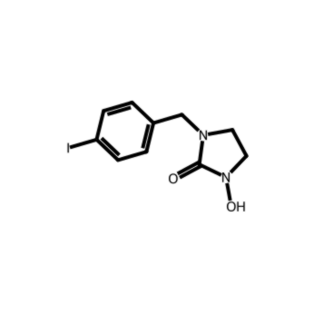 O=C1N(O)CCN1Cc1ccc(I)cc1